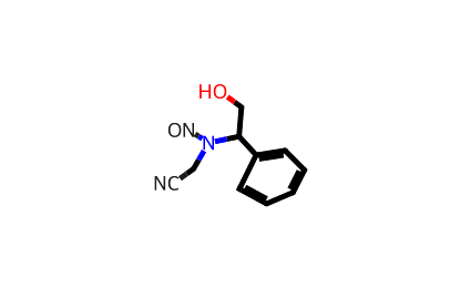 N#CCN(N=O)C(CO)c1ccccc1